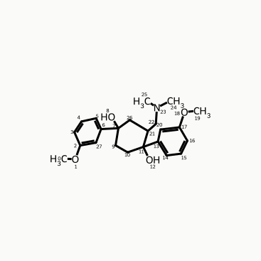 COc1cccc(C2(O)CCC(O)(c3cccc(OC)c3)C(CN(C)C)C2)c1